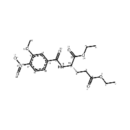 CCOC(=O)CC[C@H](NC(=O)c1ccc([N+](=O)[O-])c(OC)c1)C(=O)OCC